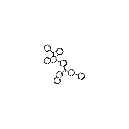 c1ccc(-c2ccc(N(c3cccc(-c4cc5ccccc5c5c(-c6ccccc6)c6ccccc6n45)c3)c3ccc4ccccc4c3)cc2)cc1